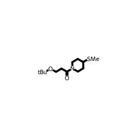 CSC1CCN(C(=O)CCOC(C)(C)C)CC1